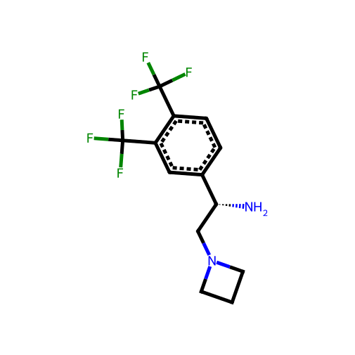 N[C@H](CN1CCC1)c1ccc(C(F)(F)F)c(C(F)(F)F)c1